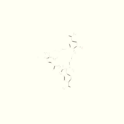 CCn1nc(C)c(F)c1C(=O)Nc1nc2cc(C(N)=O)cc3c2n1[C@@H](CCCNc1c(N)cc(C(N)=O)cc1OCCCOC)CO3